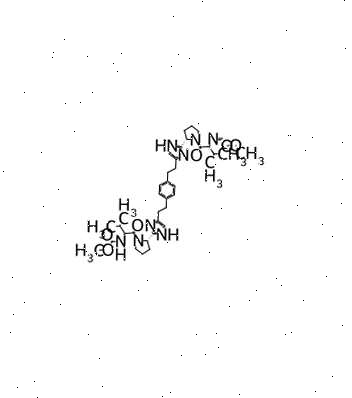 COO/C=N\[C@H](C(=O)N1CCC[C@H]1c1nc(CCc2ccc(CCc3c[nH]c([C@@H]4CCCN4C(=O)[C@@H](NC(=O)OC)C(C)C)n3)cc2)c[nH]1)C(C)C